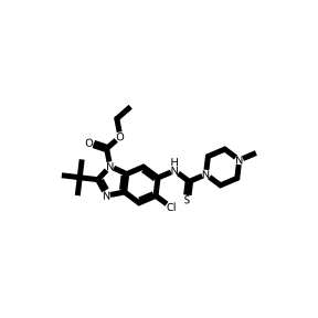 CCOC(=O)n1c(C(C)(C)C)nc2cc(Cl)c(NC(=S)N3CCN(C)CC3)cc21